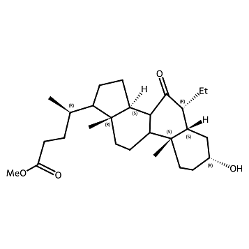 CC[C@H]1C(=O)C2C(CC[C@]3(C)C([C@H](C)CCC(=O)OC)CC[C@@H]23)[C@@]2(C)CC[C@@H](O)C[C@@H]12